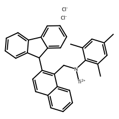 Cc1cc(C)c([N]([Ti+2])Cc2c(C3c4ccccc4-c4ccccc43)ccc3ccccc23)c(C)c1.[Cl-].[Cl-]